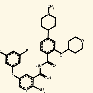 CN1CCC(c2ccc(C(=O)NC(=N)c3cc(Sc4cc(F)cc(F)c4)cnc3N)c(NC3CCOCC3)c2)CC1